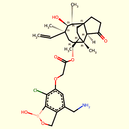 C=C[C@]1(C)C[C@@H](OC(=O)COc2cc(CN)c3c(c2Cl)B(O)OC3)[C@]2(C)[C@H](C)CC[C@]3(CCC(=O)[C@H]32)[C@@H](C)[C@@H]1O